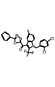 Cc1ccc2c(c1)c(C(=O)c1nnc(-c3ccccc3)o1)c(C(F)(F)F)n2Cc1ccc(Cl)cc1Cl